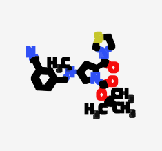 CN(Cc1cccc(C#N)c1)[C@H]1C[C@@H](C(=O)N2CCSC2)N(C(=O)OC(C)(C)C)C1